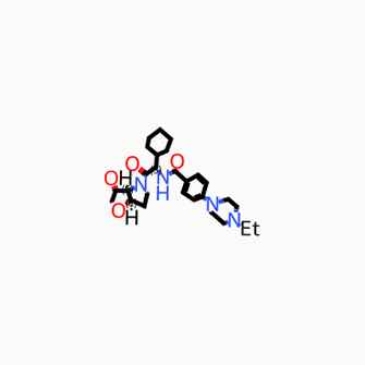 CCN1CCN(c2ccc(C(=O)N[C@H](C(=O)N3CC[C@H]4OCC(=O)[C@H]43)C3CCCCC3)cc2)CC1